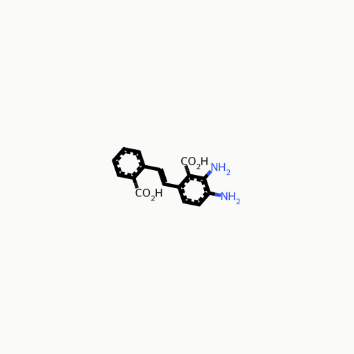 Nc1ccc(C=Cc2ccccc2C(=O)O)c(C(=O)O)c1N